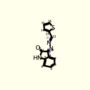 O=C1Nc2ccccc2/C1=N/N=C/c1cccs1